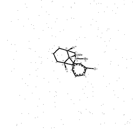 CO[C@]1(c2ccnc(Cl)c2)[C@@H]2CCC[C@H]1CN(C(C)(C)C)C2